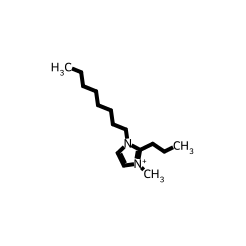 CCCCCCCCn1cc[n+](C)c1CCC